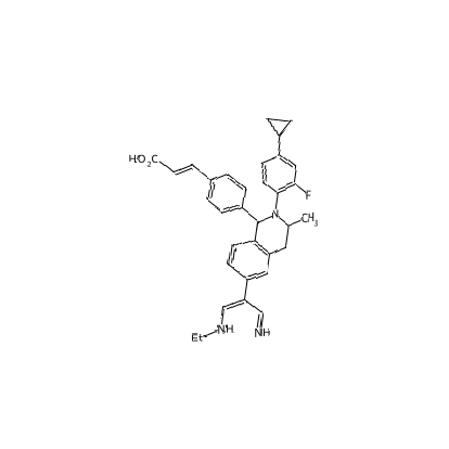 CCN/C=C(\C=N)c1ccc2c(c1)CC(C)N(c1ccc(C3CC3)cc1F)C2c1ccc(/C=C/C(=O)O)cc1